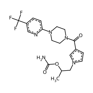 CC(Cn1ccc(C(=O)N2CCN(c3ccc(C(F)(F)F)cn3)CC2)c1)OC(N)=O